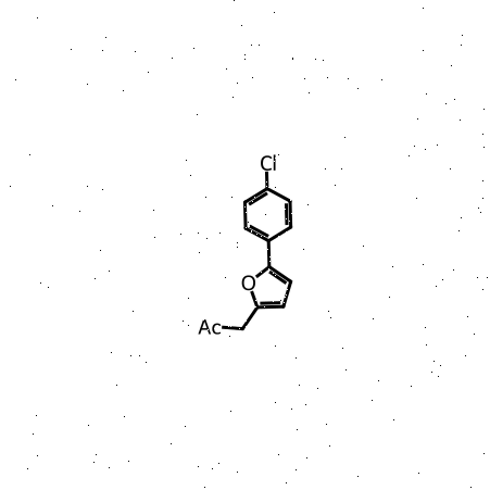 CC(=O)Cc1ccc(-c2ccc(Cl)cc2)o1